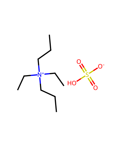 CCC[N+](CC)(CC)CCC.O=S(=O)([O-])O